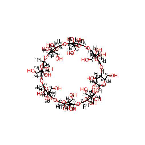 OC[C@H]1O[C@@H]2O[C@H]3[C@H](O)[C@@H](O)[C@@H](O[C@H]4[C@H](O)[C@@H](O)[C@@H](O[C@H]5[C@H](O)[C@@H](O)[C@@H](O[C@H]6[C@H](O)[C@@H](O)[C@@H](O[C@H]7[C@H](O)[C@@H](O)[C@@H](O[C@H]8[C@H](O)[C@@H](O)[C@@H](O[C@H]9[C@H](O)[C@@H](O)C(O[C@H]1[C@H](O)[C@H]2O)O[C@@H]9CO)O[C@@H]8CO)O[C@@H]7CO)O[C@@H]6CO)O[C@@H]5CO)O[C@@H]4CO)O[C@@H]3CO